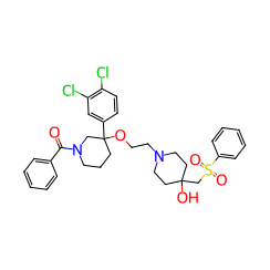 O=C(c1ccccc1)N1CCCC(OCCN2CCC(O)(CS(=O)(=O)c3ccccc3)CC2)(c2ccc(Cl)c(Cl)c2)C1